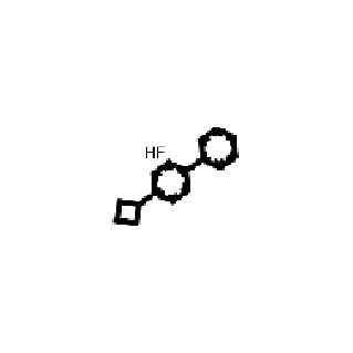 F.c1ccc(-c2ccc(C3CCC3)cc2)cc1